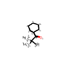 CC(C)C(C)(C)C(=O)C1CCCCC1